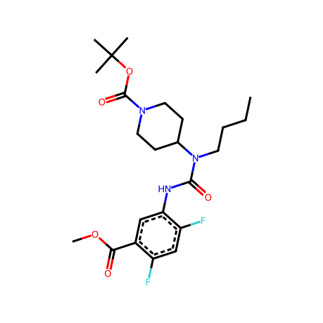 CCCCN(C(=O)Nc1cc(C(=O)OC)c(F)cc1F)C1CCN(C(=O)OC(C)(C)C)CC1